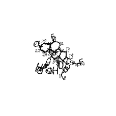 CCC(=O)OC1(C(=O)SCF)C(C)CC2C3CC(F)C4=CC(=O)C=CC4(C)C3(F)C(O[PH](=O)O)CC21C